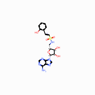 Nc1ncnc2c1ncn2[C@@H]1O[C@H](CNS(=O)(=O)/C=C/c2ccccc2O)[C@@H](O)[C@H]1O